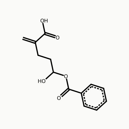 C=C(CCC(O)OC(=O)c1ccccc1)C(=O)O